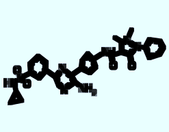 Cc1c(C(=O)Nc2ccc(-c3nc(-c4cccc(S(=O)(=O)NC5CC5)c4)cnc3N)cc2)c(=O)n(-c2ccccc2)n1C